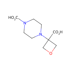 O=C(O)N1CCN(C2(C(=O)O)COC2)CC1